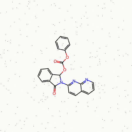 O=C(Oc1ccccc1)OC1c2ccccc2C(=O)N1c1ccc2cccnc2n1